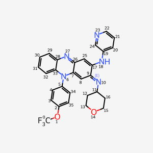 FC(F)(F)Oc1ccc(-n2c3c/c(=N\C4CCOCC4)c(Nc4cccnc4)cc-3nc3ccccc32)cc1